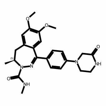 CNC(=O)N1N=C(c2ccc(N3CCNC(=O)C3)cc2)c2cc(OC)c(OC)cc2C[C@@H]1C